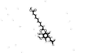 COC(=O)CCCCCCCCC(=O)Oc1c(C)c(CC=C(C)C)c(C)c(OC)c1OC